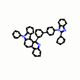 c1ccc(-c2nc3ccccc3n2-c2ccc(-c3cccc(-c4nc5ccccc5c5ccc6c(c7ccccc7n6-c6ccccc6)c45)c3)cc2)cc1